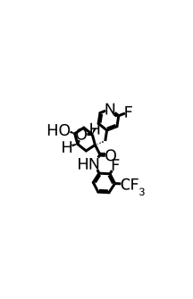 O=C(Nc1cccc(C(F)(F)F)c1F)[C@@]1(Cc2ccnc(F)c2)C[C@H]2O[C@@H]1C[C@@H]2O